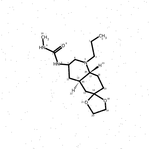 CCCN1CC(NC(=O)NC)C[C@@H]2CC3(CC[C@H]21)OCCO3